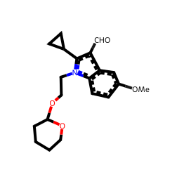 COc1ccc2c(c1)c(C=O)c(C1CC1)n2CCOC1CCCCO1